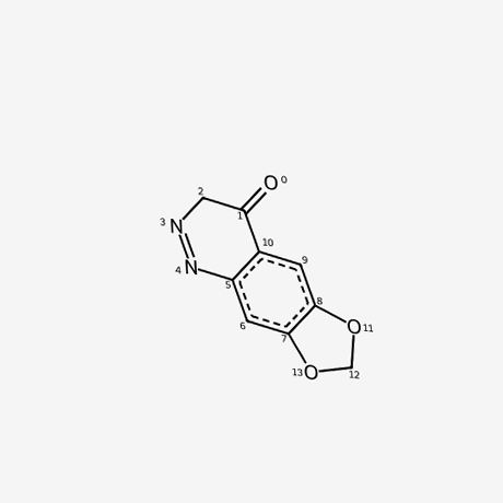 O=C1CN=Nc2cc3c(cc21)OCO3